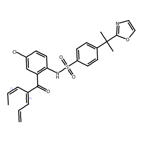 C=C/C=C(\C=C/C)C(=O)c1cc(Cl)ccc1NS(=O)(=O)c1ccc(C(C)(C)c2ncco2)cc1